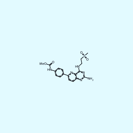 COC(=O)Nc1ccc(-c2ccc3nc(N)nc(NCCS(C)(=O)=O)c3n2)cc1